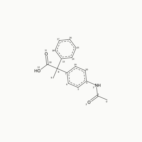 CC(=O)Nc1ccc(C(C)(C(=O)O)c2ccccc2)cc1